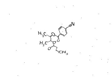 CCCC(=O)OC(C)C(C)OC(=O)c1ccc(C#N)cc1